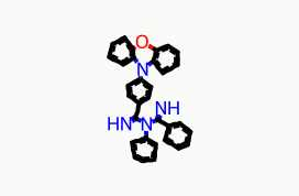 N=C(c1ccccc1)N(C(=N)c1ccc(N2c3ccccc3Oc3ccccc32)cc1)c1ccccc1